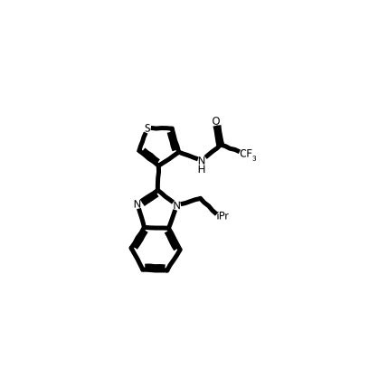 CC(C)Cn1c(-c2cscc2NC(=O)C(F)(F)F)nc2ccccc21